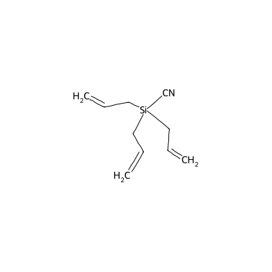 C=CC[Si](C#N)(CC=C)CC=C